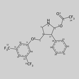 O=C(OC1NCC(COc2cc(C(F)(F)F)cc(C(F)(F)F)c2)C1c1ccccc1)C(F)(F)F